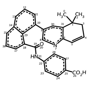 CC1(C)CC=Cc2ncc(-c3cccc4cccc(C(=O)Nc5ccc(C(=O)O)cc5)c34)cc21